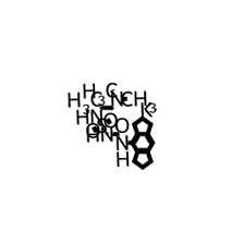 CC(CN(C)C)NS(=O)(=O)NC(=O)Nc1c2c(cc3c1CCC3)CCC2.[K]